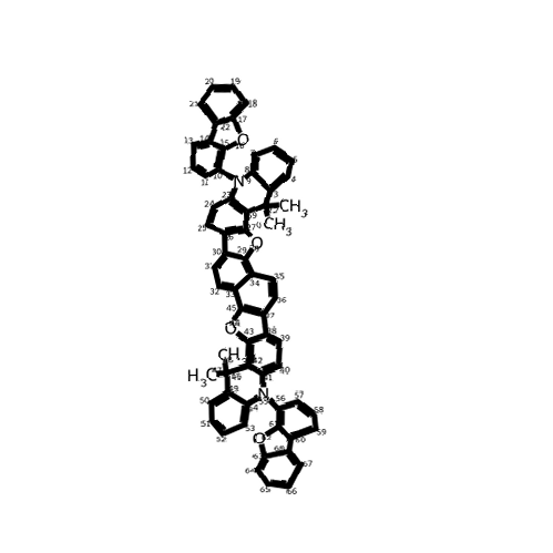 CC1(C)c2ccccc2N(c2cccc3c2oc2ccccc23)c2ccc3c(oc4c3ccc3c4ccc4c5ccc6c(c5oc43)C(C)(C)c3ccccc3N6c3cccc4c3oc3ccccc34)c21